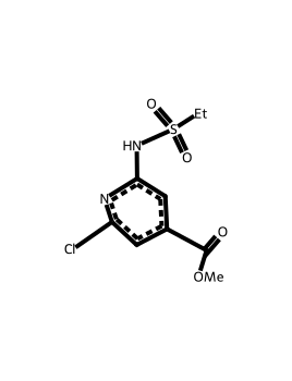 CCS(=O)(=O)Nc1cc(C(=O)OC)cc(Cl)n1